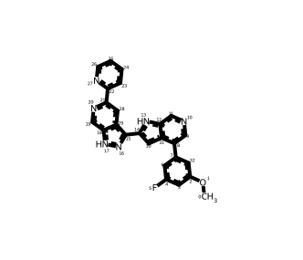 COc1cc(F)cc(-c2cncc3[nH]c(-c4n[nH]c5cnc(-c6ccccn6)cc45)cc23)c1